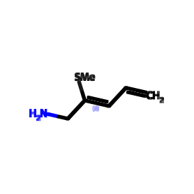 C=C/C=C(/CN)SC